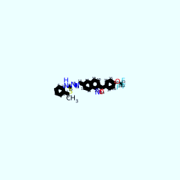 CCc1ccccc1NC(=S)/N=N/C=C1\C=CC2=C(CCc3c2noc3-c2ccc(OC(F)(F)F)cc2)C1